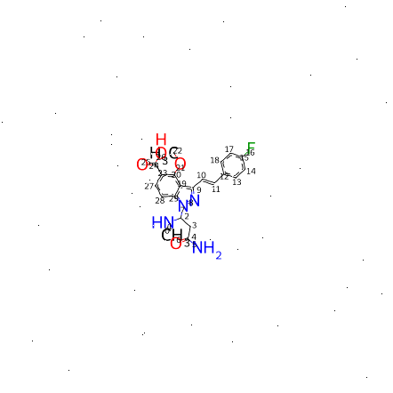 CNC(CC(N)=O)n1nc(C=Cc2ccc(F)cc2)c2c(OC)c(C(=O)O)ccc21